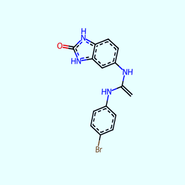 C=C(Nc1ccc(Br)cc1)Nc1ccc2[nH]c(=O)[nH]c2c1